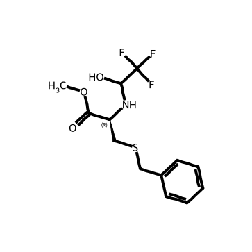 COC(=O)[C@H](CSCc1ccccc1)NC(O)C(F)(F)F